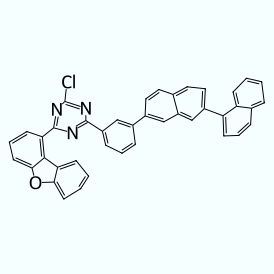 Clc1nc(-c2cccc(-c3ccc4ccc(-c5cccc6ccccc56)cc4c3)c2)nc(-c2cccc3oc4ccccc4c23)n1